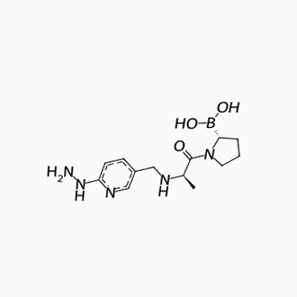 C[C@@H](NCc1ccc(NN)nc1)C(=O)N1CCC[C@H]1B(O)O